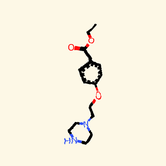 CCOC(=O)c1ccc(OCCN2CCNCC2)cc1